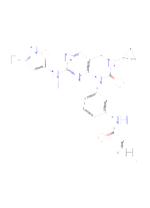 C=CC(=O)Nc1cccc(N2C(=O)N(C3CC3)Cc3cnc(Nc4cc(F)no4)nc32)c1